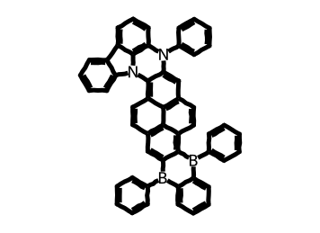 c1ccc(B2c3ccccc3B(c3ccccc3)c3c2cc2ccc4c5c(ccc3c25)cc2c4n3c4ccccc4c4cccc(c43)n2-c2ccccc2)cc1